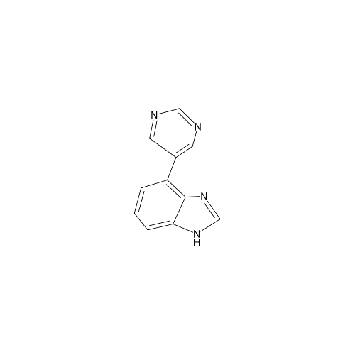 c1cc(-c2cncnc2)c2nc[nH]c2c1